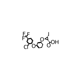 O=C(O)[C@@H]1[C@@H](I)[C@H]1OC1=CC(Oc2ccc(C(F)(F)F)cc2Cl)=CCC1